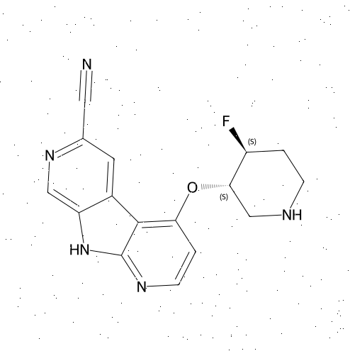 N#Cc1cc2c(cn1)[nH]c1nccc(O[C@H]3CNCC[C@@H]3F)c12